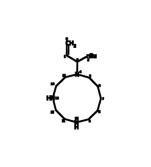 C=CC(CCCC)N1CCCCCNCCNCC1